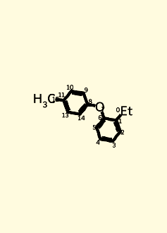 CCc1ccccc1Oc1ccc(C)cc1